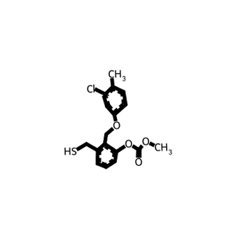 COC(=O)Oc1cccc(CS)c1COc1ccc(C)c(Cl)c1